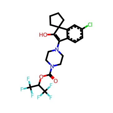 O=C(OC(C(F)(F)F)C(F)(F)F)N1CCN(C2=C(O)C3(CCCC3)c3cc(Cl)ccc32)CC1